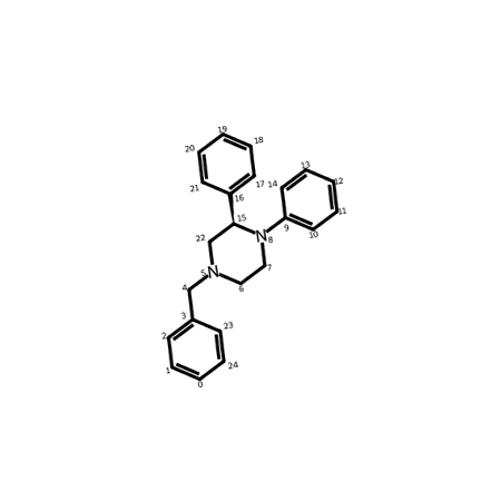 c1ccc(CN2CCN(c3ccccc3)[C@H](c3ccccc3)C2)cc1